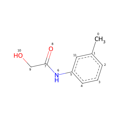 Cc1cccc(NC(=O)CO)c1